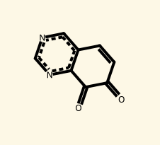 O=C1C=Cc2cncnc2C1=O